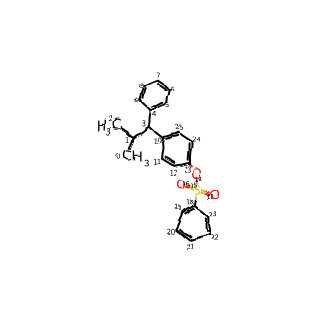 CC(C)C(c1ccccc1)c1ccc(OS(=O)(=O)c2ccccc2)cc1